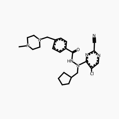 CN1CCN(Cc2ccc(C(=O)NN(CC3CCCC3)c3nc(C#N)ncc3Cl)cc2)CC1